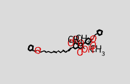 COc1cc(-c2oc3c(OC)c(OC)c(C#CCCCCCCCCCCCOCc4ccccc4)cc3c(=O)c2O)ccc1OCc1ccccc1